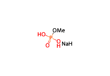 COP(=O)(O)O.[NaH]